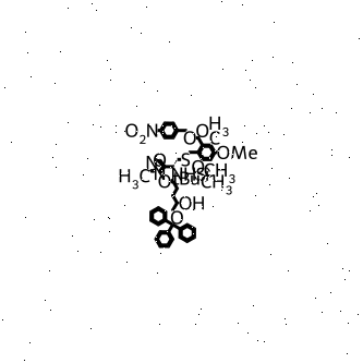 COc1cc(O[Si](C)(C)C(C)(C)C)c(CSC[C@H](NC(=O)CC[C@@H](O)COC(c2ccccc2)(c2ccccc2)c2ccccc2)c2nc(C)no2)c(C(=O)OCc2ccc([N+](=O)[O-])cc2)c1C